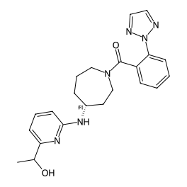 CC(O)c1cccc(N[C@@H]2CCCN(C(=O)c3ccccc3-n3nccn3)CC2)n1